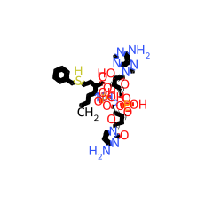 C=CCCC(N)C(CC=[SH]Cc1ccccc1)C(=O)O[C@H]1[C@@H](O)[C@H](n2cnc3c(N)ncnc32)O[C@H]1COP(=O)(O)O[C@H]1C[C@H](n2ccc(N)nc2=O)O[C@@H]1COP(=O)(O)O